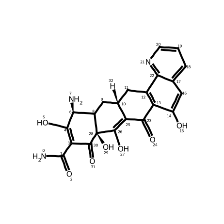 NC(=O)C1=C(O)[C@@H](N)C2C[C@@H]3Cc4c(c(O)cc5cccnc45)C(=O)C3=C(O)[C@]2(O)C1=O